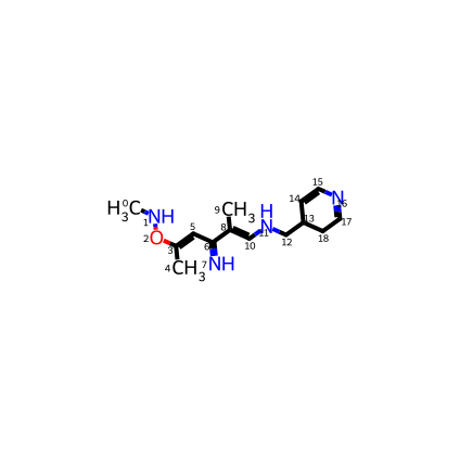 CNO/C(C)=C/C(=N)/C(C)=C/NCC1C=CN=CC1